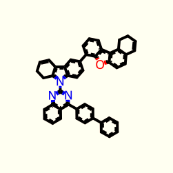 C1=Cc2ccc3oc4c(-c5ccc6c(c5)c5c(n6-c6nc(-c7ccc(-c8ccccc8)cc7)c7ccccc7n6)CCC=C5)cccc4c3c2CC1